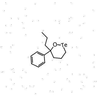 CCCC1(c2ccccc2)CCC[Te]O1